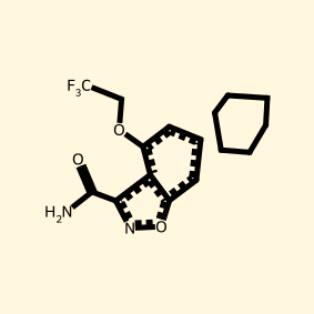 C1CCCCC1.NC(=O)c1noc2cccc(OCC(F)(F)F)c12